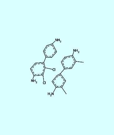 Cc1cc(-c2ccc(N)c(C)c2)ccc1N.Nc1ccc(-c2ccc(N)c(Cl)c2Cl)cc1